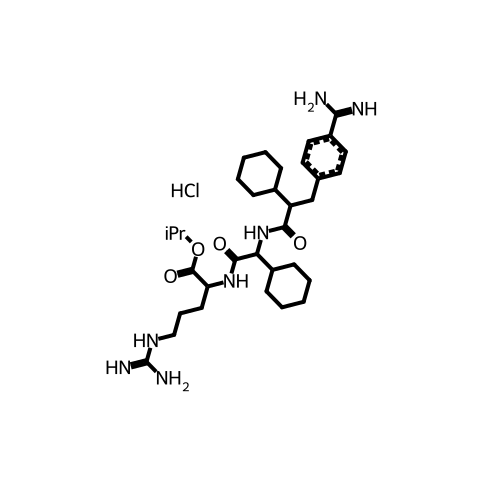 CC(C)OC(=O)C(CCCNC(=N)N)NC(=O)C(NC(=O)C(Cc1ccc(C(=N)N)cc1)C1CCCCC1)C1CCCCC1.Cl